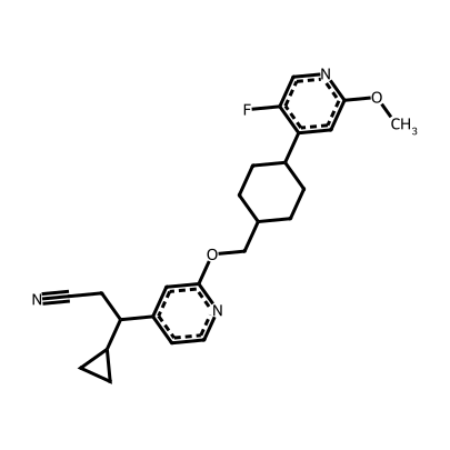 COc1cc(C2CCC(COc3cc(C(CC#N)C4CC4)ccn3)CC2)c(F)cn1